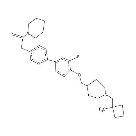 C=C(Cc1ccc(-c2ccc(OCC3CCN(CC4(C(F)(F)F)CCC4)CC3)c(F)c2)cc1)N1CCCCC1